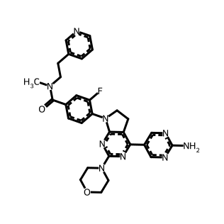 CN(CCc1cccnc1)C(=O)c1ccc(N2CCc3c(-c4cnc(N)nc4)nc(N4CCOCC4)nc32)c(F)c1